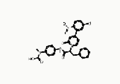 CN(C(=O)O)c1ccc(NC(=O)C(Cc2ccccc2)n2ccc(-c3cc(Cl)ccc3[N+](=O)[O-])cc2=O)cc1